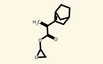 C=C(C(=O)OC1CO1)C1=C2CCC(C2)C1